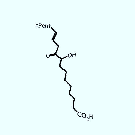 CCCCC/C=C/CC(=O)C(O)CCCCCCCC(=O)O